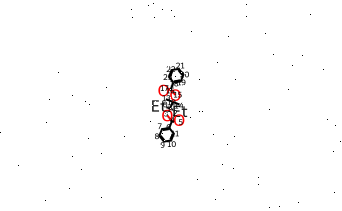 CCC(CC)(OC(=O)c1ccccc1)C(C)(C)OC(=O)c1ccccc1